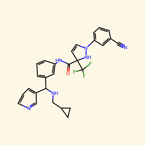 N#Cc1cccc(N2C=CC(C(=O)Nc3cccc(C(NCC4CC4)c4cccnc4)c3)(C(F)(F)F)N2)c1